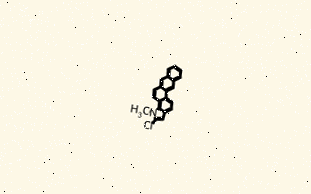 Cn1c(Cl)cc2ccc3c4cc5ccccc5cc4ccc3c21